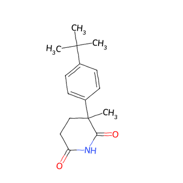 CC(C)(C)c1ccc(C2(C)CCC(=O)NC2=O)cc1